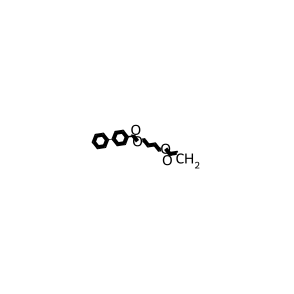 C=CC(=O)OCCCCOC(=O)[C@H]1CC[C@H](C2CCCCC2)CC1